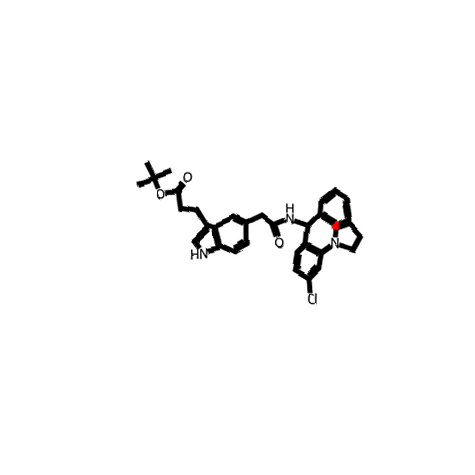 CC(C)(C)OC(=O)CCc1c[nH]c2ccc(CC(=O)NC(c3ccccc3)c3ccc(Cl)cc3N3CCCC3)cc12